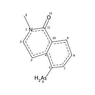 Cn1ccc2c([AsH2])cccc2c1=O